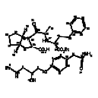 CC(C)NCC(O)COc1ccc(CC(N)=O)cc1.CCOC(=O)[C@H](CCc1ccccc1)N[C@@H](C)C(=O)N1[C@H](C(=O)O)C[C@@H]2CCC[C@@H]21